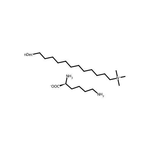 CCCCCCCCCCCCCCCCCCCCCC[N+](C)(C)C.NCCCC[C@H](N)C(=O)[O-]